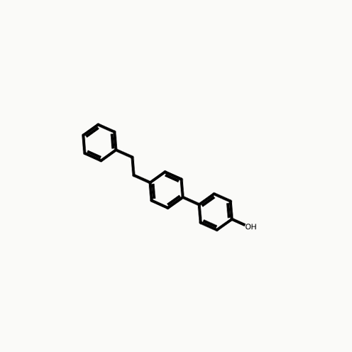 Oc1ccc(-c2ccc(CCc3ccccc3)cc2)cc1